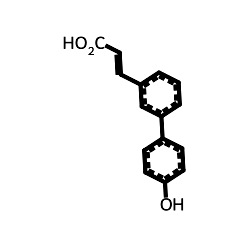 O=C(O)C=Cc1cccc(-c2ccc(O)cc2)c1